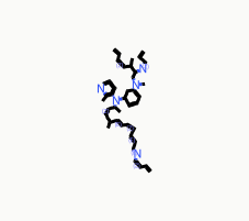 C=C\C=C/N=C/C=C/C=C\C=C\C(C)/C=C\C(C)N(c1cccnc1C)C1C=CC=C(N(C)CC(/N=C\C=C)C(C)/C=C\C=C)C1